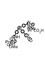 COC(=O)N[C@H](C(=O)N1CCC[C@H]1c1ncc(-c2ccc([C@H]3CC[C@H](c4ccc(-c5cnc([C@@H]6CCCN6C(=O)[C@H](C(C)C)N(C)C(=O)O)[nH]5)cc4)N3c3ccc(-c4ccc(N5CCOCC5)nc4)cc3)cc2)[nH]1)C(C)C